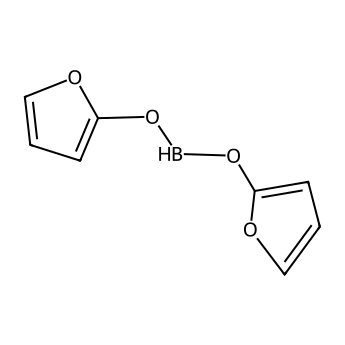 B(Oc1ccco1)Oc1ccco1